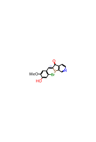 COc1cc(/C=C2\Sc3cnccc3C2=O)c(Br)cc1O